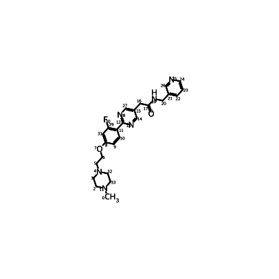 CN1CCN(CCOc2ccc(-c3ncc(CC(=O)NCc4cccnc4)cn3)c(F)c2)CC1